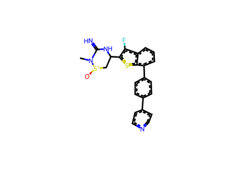 CN1C(=N)NC(c2sc3c(-c4ccc(-c5ccncc5)cc4)cccc3c2F)C[S+]1[O-]